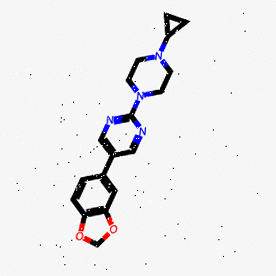 c1cc2c(cc1-c1cnc(N3CCN(C4CC4)CC3)nc1)OCO2